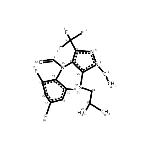 CCn1nc(C(F)(F)F)c(N(C=O)c2c(F)cc(F)cc2F)c1SCC(C)C